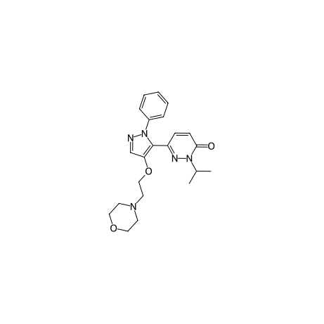 CC(C)n1nc(-c2c(OCCN3CCOCC3)cnn2-c2ccccc2)ccc1=O